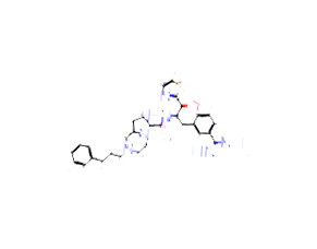 N=C(N)c1cccc(CC(NC(=O)C2CCC3CN(CCCc4ccccc4)CCN32)C(=O)c2nccs2)c1